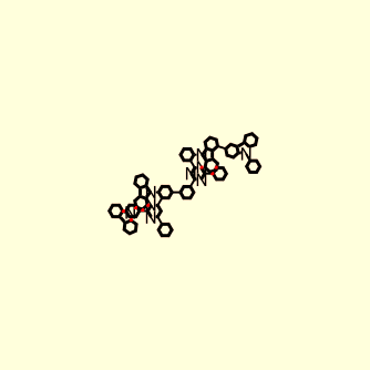 c1ccc(-c2cc(-c3cc(-c4cccc(-c5nc(-c6ccccc6)nc(-c6ccccc6-n6c7ccccc7c7c(-c8ccc9c(c8)c8ccccc8n9-c8ccccc8)cccc76)n5)c4)ccc3-n3c4ccccc4c4cc(-n5c6ccccc6c6ccccc65)ccc43)nc(-c3ccccc3)n2)cc1